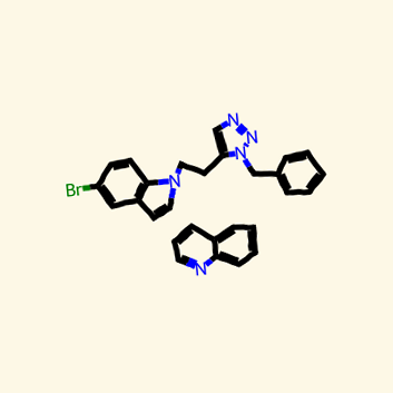 Brc1ccc2c(ccn2CCc2cnnn2Cc2ccccc2)c1.c1ccc2ncccc2c1